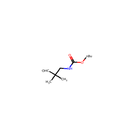 CCCCOC(=O)NCC(C)(C)[C]=O